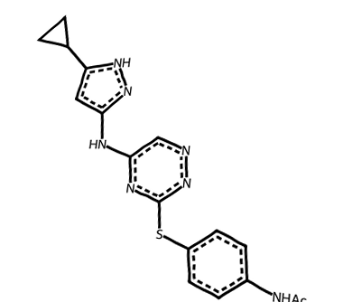 CC(=O)Nc1ccc(Sc2nncc(Nc3cc(C4CC4)[nH]n3)n2)cc1